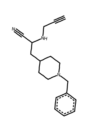 C#CCNC(C#N)CC1CCN(Cc2ccccc2)CC1